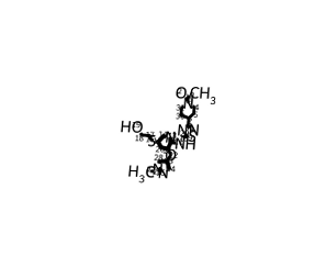 CC(=O)N1CCC(c2nsc(Nc3ncc(SCCO)cc3Oc3cnn(C)c3)n2)CC1